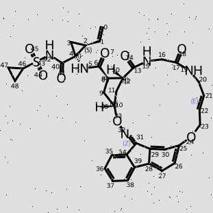 C=C[C@@H]1C[C@]1(NC(=O)[C@@H]1C[C@@H]2C[C@H]1C(=O)NCC(=O)NC/C=C/COc1ccc3c(c1)/C(=N\O2)c1ccccc1-3)C(=O)NS(=O)(=O)C1CC1